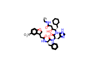 CC(C)CNC(=O)CC(O)[C@H](CC1CCCCC1)NC(=O)[C@H](Cc1c[nH]cn1)NC(=O)[C@H](Cc1ccccc1)NC(=O)CC1COc2ccc([N+](=O)[O-])cc21